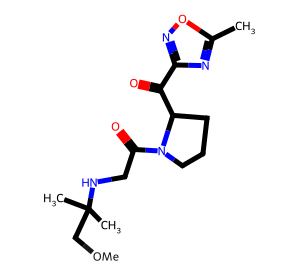 COCC(C)(C)NCC(=O)N1CCCC1C(=O)c1noc(C)n1